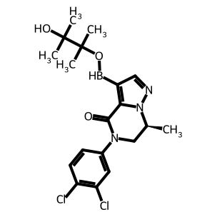 C[C@H]1CN(c2ccc(Cl)c(Cl)c2)C(=O)c2c(BOC(C)(C)C(C)(C)O)cnn21